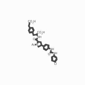 CC(=O)N1CC(c2ccc(NC(=O)Nc3ccc(Cl)cc3)cc2)CC1C(=O)NC(Cc1ccc(CCC(=O)O)cc1)C(=O)O